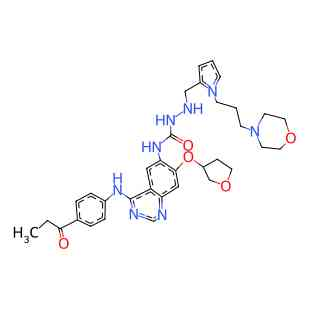 CCC(=O)c1ccc(Nc2ncnc3cc(OC4CCOC4)c(NC(=O)NNCc4cccn4CCCN4CCOCC4)cc23)cc1